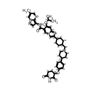 Cc1cnc2c(NC(=O)c3cn4cc(C5CCC(CN6CCC(c7ccc(OC8CCC(=O)NC8=O)cc7)CC6)CC5)nc4cc3OC(C)C)cnn2c1